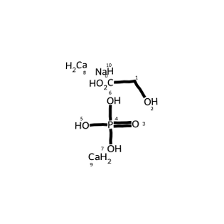 O=C(O)CO.O=P(O)(O)O.[CaH2].[CaH2].[NaH]